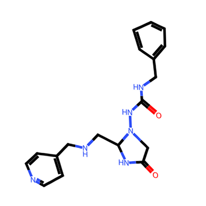 O=C1CN(NC(=O)NCc2ccccc2)C(CNCc2ccncc2)N1